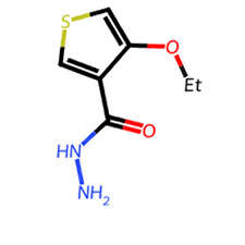 CCOc1cscc1C(=O)NN